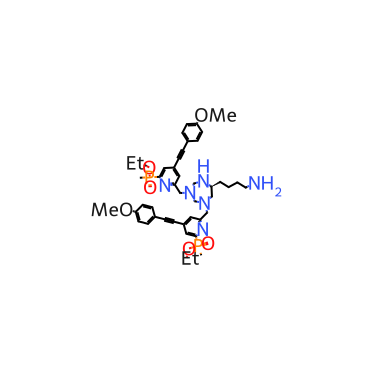 CCOP(C)(=O)c1cc(C#Cc2ccc(OC)cc2)cc(CN2CN[C@@H](CCCCN)CN(Cc3cc(C#Cc4ccc(OC)cc4)cc(P(C)(=O)OCC)n3)C2)n1